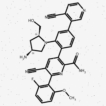 COc1cccc(F)c1-c1nc(C(N)=O)c(-c2ccc(-c3cnccc3C#N)cc2N2C[C@@H](N)C[C@H]2CO)cc1C#N